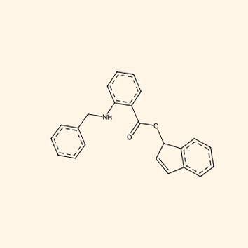 O=C(OC1C=Cc2ccccc21)c1ccccc1NCc1ccccc1